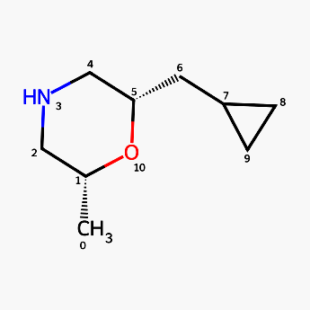 C[C@@H]1CNC[C@H](CC2CC2)O1